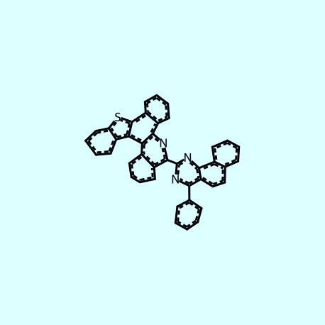 c1ccc(-c2nc(-c3nc4c5ccccc5c5sc6ccccc6c5c4c4ccccc34)nc3c2ccc2ccccc23)cc1